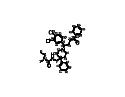 CCN(C)C(=O)NCC1(c2ccccc2)CCN(C(CCC(=O)c2ccccc2)c2ccc(Cl)c(Cl)c2)CC1